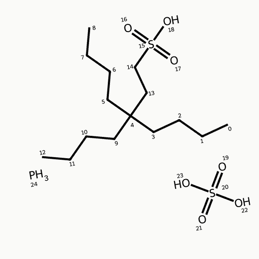 CCCCC(CCCC)(CCCC)CCS(=O)(=O)O.O=S(=O)(O)O.P